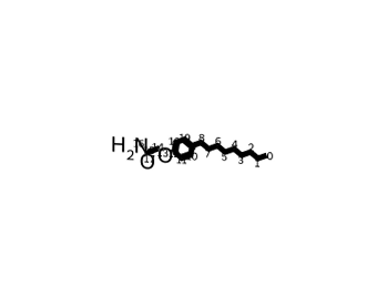 CCCCCCCCCc1ccc(OCC(N)=O)cc1